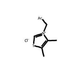 CC(=O)C[n+]1csc(C)c1C.[Cl-]